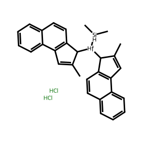 CC1=Cc2c(ccc3ccccc23)[CH]1[Hf]([CH]1C(C)=Cc2c1ccc1ccccc21)[SiH](C)C.Cl.Cl